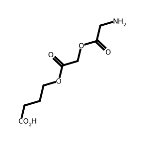 NCC(=O)OCC(=O)OCCCC(=O)O